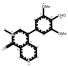 COc1cc(-c2cn(C)c(=O)c3cnccc23)cc(OC)c1C=O